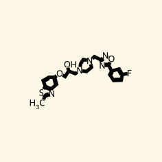 Cc1nc2cc(OCC(O)CN3CCN(Cc4noc(-c5cccc(F)c5)n4)CC3)ccc2s1